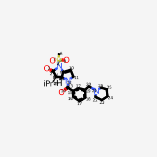 CC(C)[C@H]1C(=O)N(S(C)(=O)=O)C2=CCN(C(=O)c3cccc(CN4CCCCC4)c3)[C@@H]21